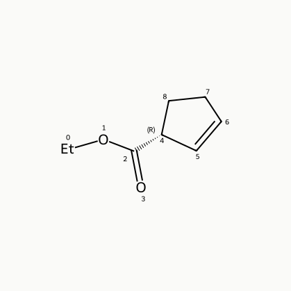 CCOC(=O)[C@H]1C=CCC1